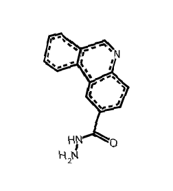 NNC(=O)c1ccc2ncc3ccccc3c2c1